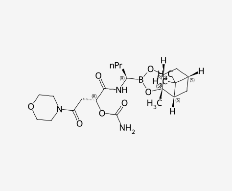 CCC[C@H](NC(=O)[C@@H](CC(=O)N1CCOCC1)OC(N)=O)B1O[C@@H]2C[C@@H]3C[C@@H](C3(C)C)[C@]2(C)O1